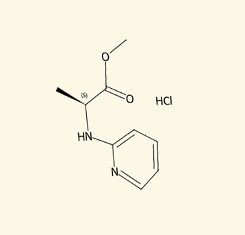 COC(=O)[C@H](C)Nc1ccccn1.Cl